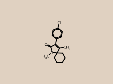 CC1=C(c2ccc(Cl)cc2)C(=O)N(C)C12CCCCC2